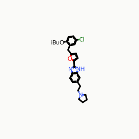 CC(C)COc1ccc(Cl)cc1Cc1ccc(-c2nc3ccc(CCN4CCCC4)cc3[nH]2)o1